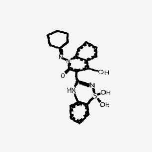 O=c1c(C2=NS(O)(O)c3ccccc3N2)c(O)c2ccccc2n1N=C1CCCCC1